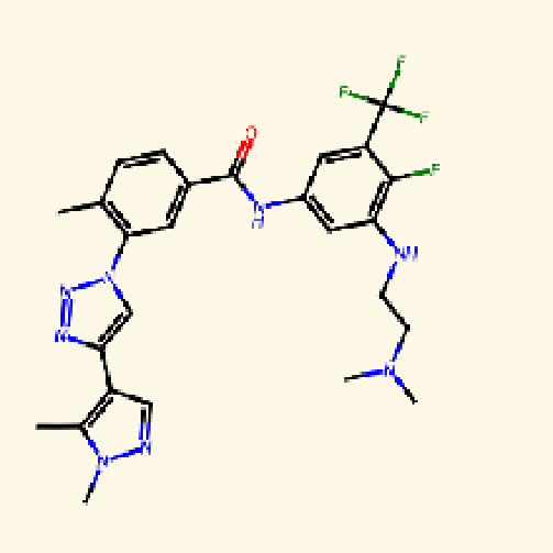 Cc1ccc(C(=O)Nc2cc(NCCN(C)C)c(F)c(C(F)(F)F)c2)cc1-n1cc(-c2cnn(C)c2C)nn1